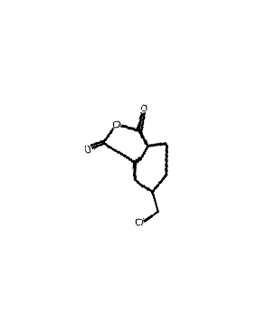 O=C1OC(=O)C2CC(CCl)CCC12